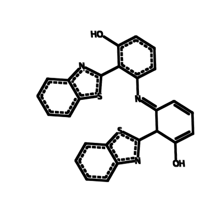 OC1=CC=CC(=Nc2cccc(O)c2-c2nc3ccccc3s2)C1c1nc2ccccc2s1